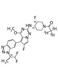 [2H]C([2H])([2H])C(=O)N1CC[C@H](Nc2nc(OC)c3c(-c4ccc5nnn([C@H](C)C(F)F)c5c4)c(F)cn3n2)[C@H](F)C1